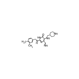 Cc1ccc(CNc2nc(C=N)c(NCC3CCNCC3)c(=O)[nH]2)cc1C